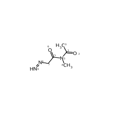 CC(=O)N(C)C(=O)CN=N